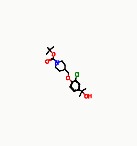 CC(C)(C)OC(=O)N1CCC(COc2ccc(C(C)(C)O)cc2Cl)CC1